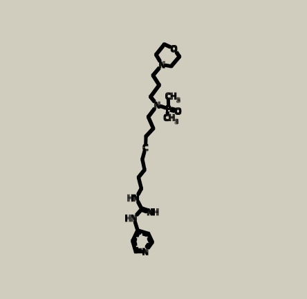 CP(C)(=O)N(CCCCCCCCNC(=N)Nc1ccncc1)CCCN1CCOCC1